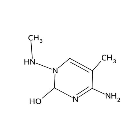 CNN1C=C(C)C(N)=NC1O